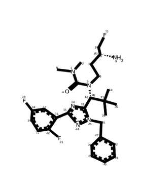 CN(C)C(=O)N(CC[C@@H](N)CF)[C@@H](c1nc(-c2cc(F)ccc2F)nn1Cc1ccccc1)C(C)(C)C